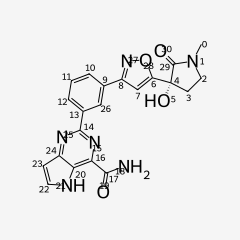 CN1CC[C@@](O)(c2cc(-c3cccc(-c4nc(C(N)=O)c5[nH]ccc5n4)c3)no2)C1=O